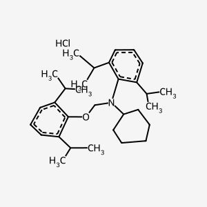 CC(C)c1cccc(C(C)C)c1OCN(c1c(C(C)C)cccc1C(C)C)C1CCCCC1.Cl